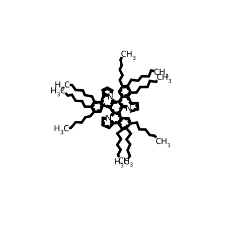 CCCCCCc1cc2c(c(CCCCCC)c1CCCCCC)c1cccn1c1c3c4cc(CCCCCC)c(CCCCCC)c(CCCCCC)c4c4cccn4c3c3c4cc(CCCCCC)c(CCCCCC)c(CCCCCC)c4c4cccn4c3c21